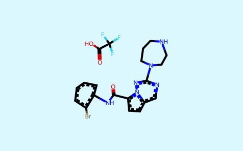 O=C(Nc1ccccc1Br)c1ccc2cnc(N3CCCNCC3)nn12.O=C(O)C(F)(F)F